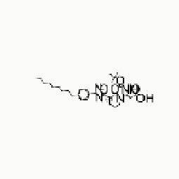 CCCCCCCCCc1ccc(-c2noc([C@@H]3CCCN(C(=CC(=O)O)NC(=O)OC(C)(C)C)C3)n2)cc1